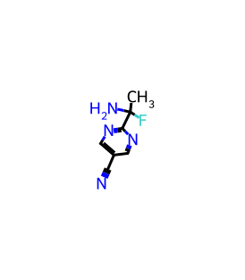 CC(N)(F)c1ncc(C#N)cn1